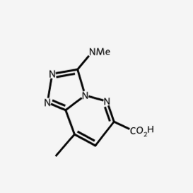 CNc1nnc2c(C)cc(C(=O)O)nn12